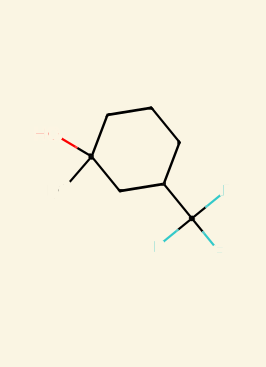 CC1(O)CCCC(C(F)(F)F)C1